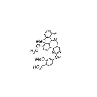 COc1cc(Nc2ncc3c(n2)-c2ccc(Cl)cc2C(c2c(F)cccc2OC)=NC3)ccc1C(=O)O.O